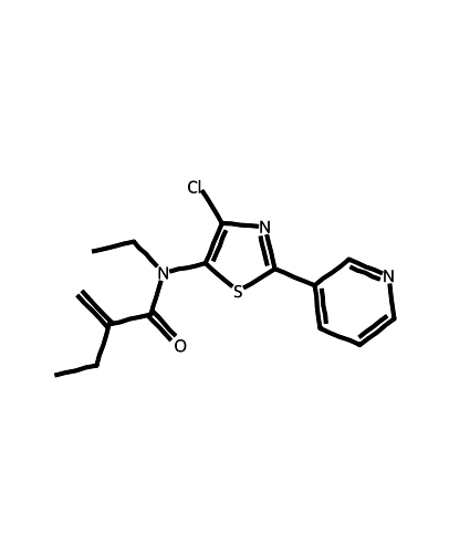 C=C(CC)C(=O)N(CC)c1sc(-c2cccnc2)nc1Cl